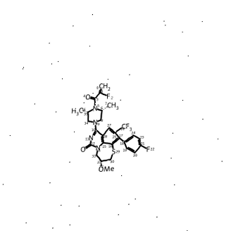 C=C(F)C(=O)N1[C@H](C)CN(c2nc(=O)n3c4c(c(-c5ccc(F)cc5)c(C(F)(F)F)cc24)SC[C@@H](OC)C3)C[C@@H]1C